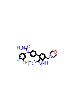 NC(=O)N(c1ccc(-c2ccc(CN3CCOCC3)c3[nH]nc(N)c23)cc1)c1ccc(F)c(C(F)(F)F)c1